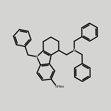 CCCCCCc1ccc2c(c1)c1c(n2Cc2ccccc2)CCCC1CN(Cc1ccccc1)Cc1ccccc1